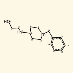 OCCNC1CCN(Cc2ccccc2)CC1